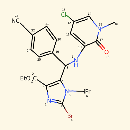 CCOC(=O)c1nc(Br)n(C(C)C)c1C(Nc1cc(Cl)cn(C)c1=O)c1ccc(C#N)cc1